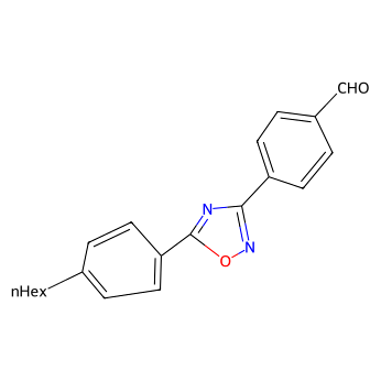 CCCCCCc1ccc(-c2nc(-c3ccc(C=O)cc3)no2)cc1